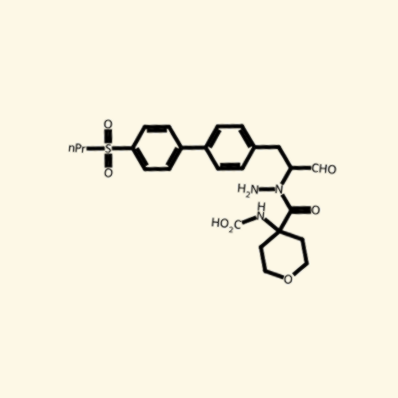 CCCS(=O)(=O)c1ccc(-c2ccc(CC(C=O)N(N)C(=O)C3(NC(=O)O)CCOCC3)cc2)cc1